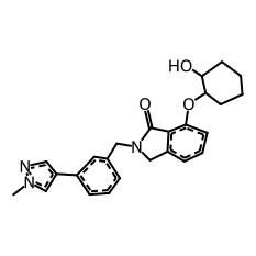 Cn1cc(-c2cccc(CN3Cc4cccc(OC5CCCCC5O)c4C3=O)c2)cn1